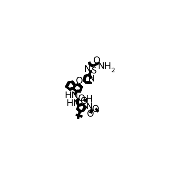 COC(=O)Nc1cc(C(C)(C)C)cc(NC(=O)Nc2ccc(Oc3ccnc(-c4nc(C)c(C(N)=O)s4)c3)c3ccccc23)c1OC